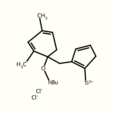 CCCCOC1(CC2=[C]([Ti+2])CC=C2)CC=C(C)C=C1C.[Cl-].[Cl-]